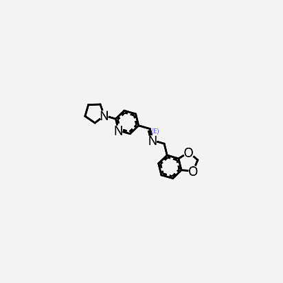 C(=N\Cc1cccc2c1OCO2)/c1ccc(N2CCCC2)nc1